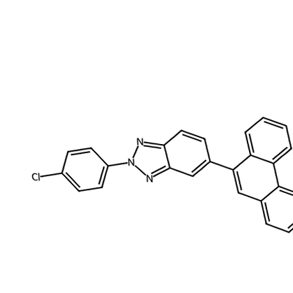 Clc1ccc(-n2nc3ccc(-c4cc5ccccc5c5ccccc45)cc3n2)cc1